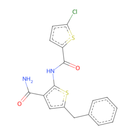 NC(=O)c1cc(Cc2ccccc2)sc1NC(=O)c1ccc(Cl)s1